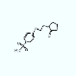 CS(=O)(=O)c1ccc(OCCN2CCCC2=O)cc1